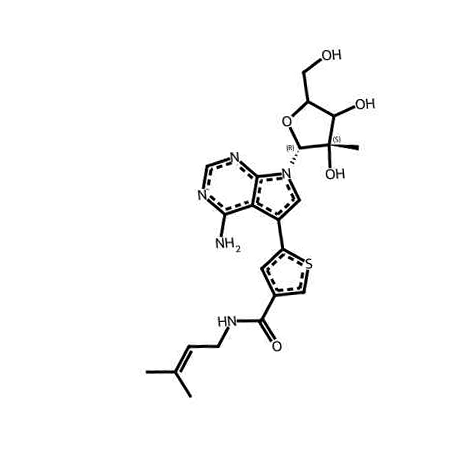 CC(C)=CCNC(=O)c1csc(-c2cn([C@@H]3OC(CO)C(O)[C@]3(C)O)c3ncnc(N)c23)c1